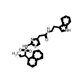 C=CC(c1cccc2ccccc12)S(=O)(=O)Nc1nc(CC(=O)NCCc2c[nH]c3ccccc23)cs1